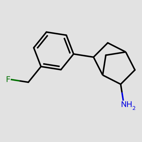 NC1CC2CC(c3cccc(CF)c3)C1C2